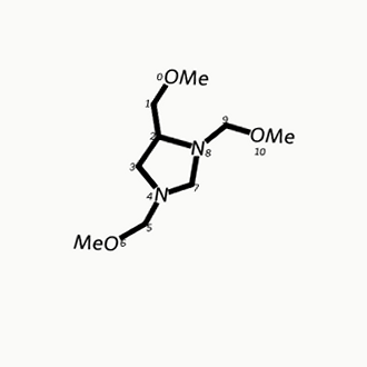 COCC1CN(COC)CN1COC